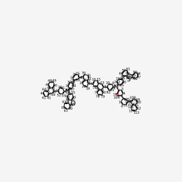 c1cc(-c2ccc(N(c3ccc(-c4cc5ccc(-c6cccc7c(-c8cccc(-c9ccc(N(c%10ccc(-c%11cc%12ccccc%12c%12ccccc%11%12)cc%10)c%10ccc%11oc%12ccccc%12c%11c%10)cc9)c8)cccc67)cc5c5ccccc45)cc3)c3ccc(-c4cccc5c4sc4ccccc45)cc3)cc2)cc(-c2cccc3ccccc23)c1